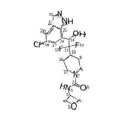 O=C(NC1COC1)N1CCC(C(F)(F)C(O)c2cc(Cl)cc3cn[nH]c23)CC1